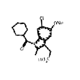 COc1cc2c(CC(=O)O)c(C)n(C(=O)C3CCCCC3)c2cc1Cl